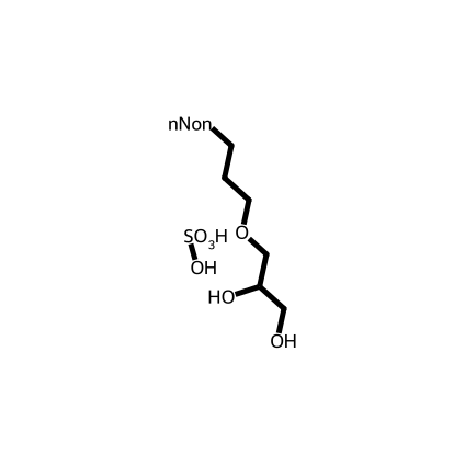 CCCCCCCCCCCCOCC(O)CO.O=S(=O)(O)O